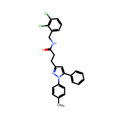 COc1ccc(-n2nc(CCC(=O)NCc3cccc(Cl)c3Cl)cc2-c2ccccc2)cc1